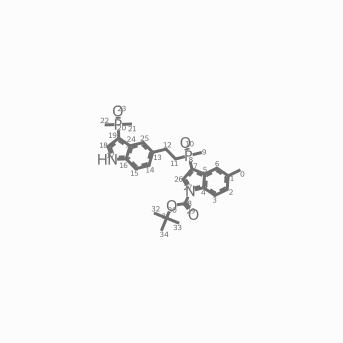 Cc1ccc2c(c1)c(P(C)(=O)CCc1ccc3[nH]cc(P(C)(C)=O)c3c1)cn2C(=O)OC(C)(C)C